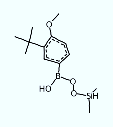 COc1ccc(B(O)OO[SiH](C)C)cc1C(C)(C)C